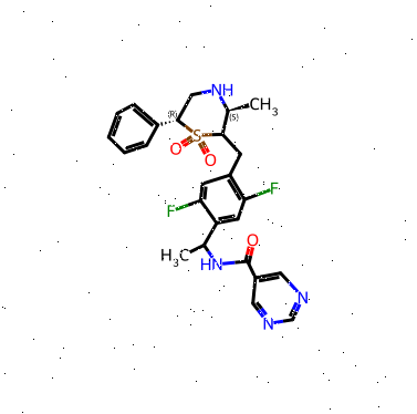 CC(NC(=O)c1cncnc1)c1cc(F)c(CC2[C@H](C)NC[C@@H](c3ccccc3)S2(=O)=O)cc1F